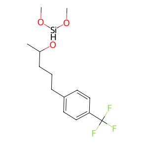 CO[SiH](OC)OC(C)CCCc1ccc(C(F)(F)F)cc1